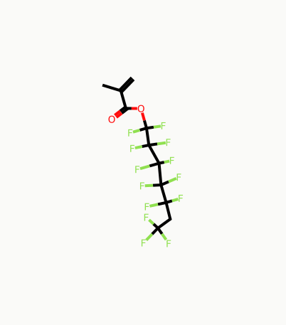 C=C(C)C(=O)OC(F)(F)C(F)(F)C(F)(F)C(F)(F)C(F)(F)CC(F)(F)F